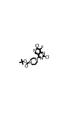 CC(C)(C)OC(=O)N1CCCN(c2nc(Cl)nc3c(F)c(Cl)ncc23)CC1